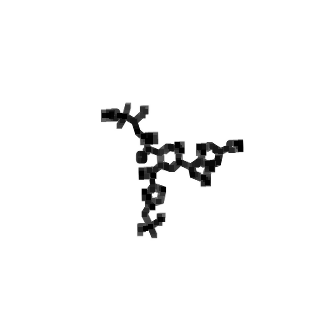 CC(F)(F)Cn1ccc(Nc2cc(-c3cnn4cc(C#N)cnc34)ncc2C(=O)NCC(F)C(C)(C)O)n1